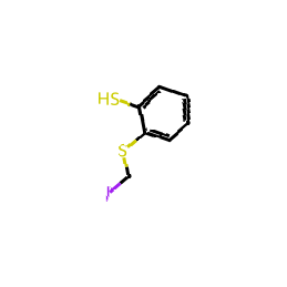 Sc1ccccc1SCI